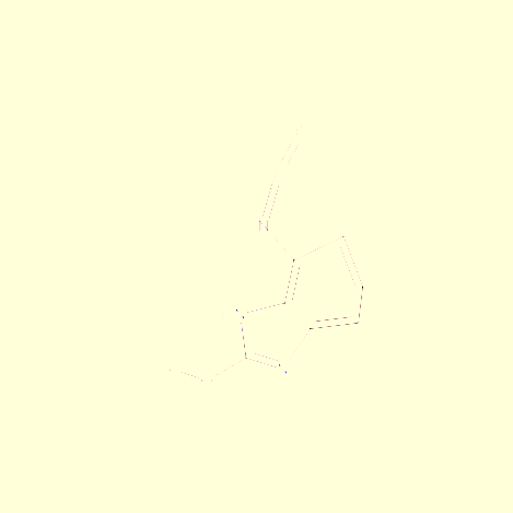 COc1nc2cccc(N=C=O)c2[nH]1